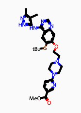 COC(=O)c1ccc(N2CCN(CCOc3cc4ncnc(Nc5[nH]nc(C)c5C)c4cc3SC(C)(C)C)CC2)nc1